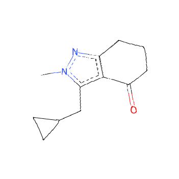 Cn1nc2c(c1CC1CC1)C(=O)CCC2